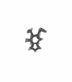 CC(C)(C)C1=NC2=NCN=C2NC1C(C)(C)C